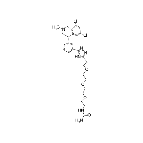 CN1Cc2c(Cl)cc(Cl)cc2[C@H](c2cccc(-c3nnc(CCOCCOCCOCCNC(N)=O)[nH]3)c2)C1